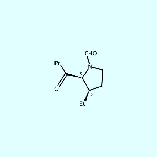 CC[C@@H]1CCN(C=O)[C@@H]1C(=O)C(C)C